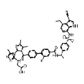 CCc1ccc(NS(=O)(=O)c2ccc(C(C)NC(=O)c3ccc(-c4ccc(C5=N[C@@H](CC(=O)O)c6nnc(C)n6-c6sc(C)c(C)c65)cc4)c(F)c3)cc2)c2[nH]cc(C#N)c12